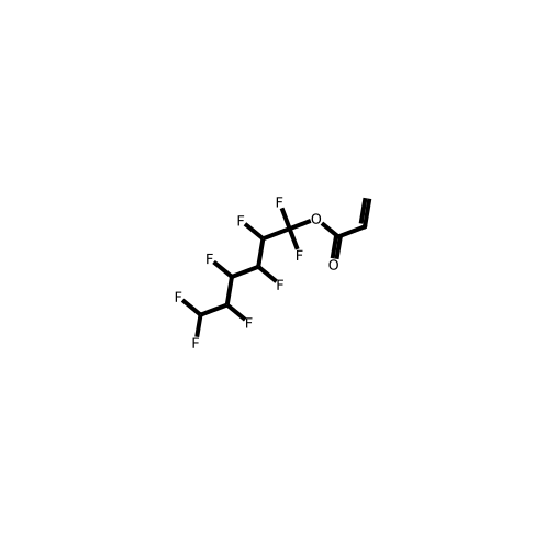 C=CC(=O)OC(F)(F)C(F)C(F)C(F)C(F)C(F)F